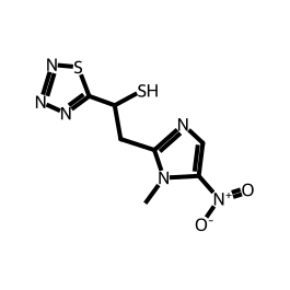 Cn1c([N+](=O)[O-])cnc1CC(S)c1nnns1